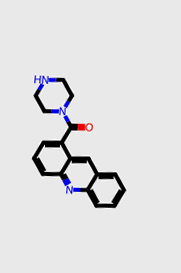 O=C(c1cccc2nc3ccccc3cc12)N1CCNCC1